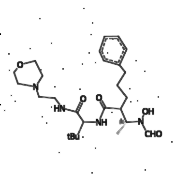 C[C@H](C(CCCc1ccccc1)C(=O)NC(C(=O)NCCN1CCOCC1)C(C)(C)C)N(O)C=O